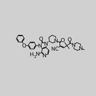 CN1CCN(C(=O)C(C)(C)/C=C(/C#N)C(=O)N2CCC[C@@H](n3c(=O)n(-c4ccc(Oc5ccccc5)cc4)c4c(N)nccc43)C2)CC1